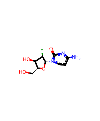 Nc1ccn([C@@H]2O[C@H](CO)C(O)[C@H]2F)c(=O)n1